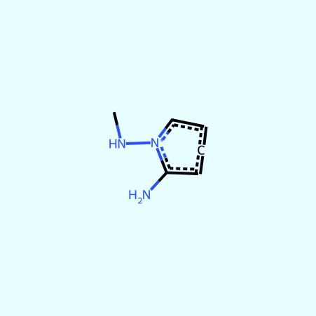 CN[n+]1ccccc1N